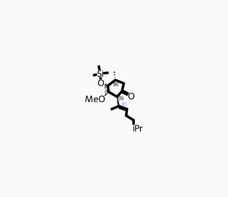 CO[C@@H]1[C@H](O[Si](C)(C)C)[C@H](C)CC(=O)[C@H]1/C(C)=C/CCC(C)C